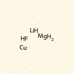 F.[Cu].[LiH].[MgH2]